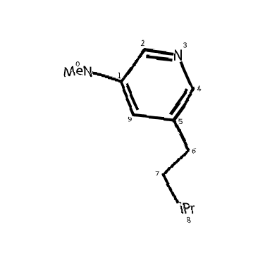 CNc1cncc(CCC(C)C)c1